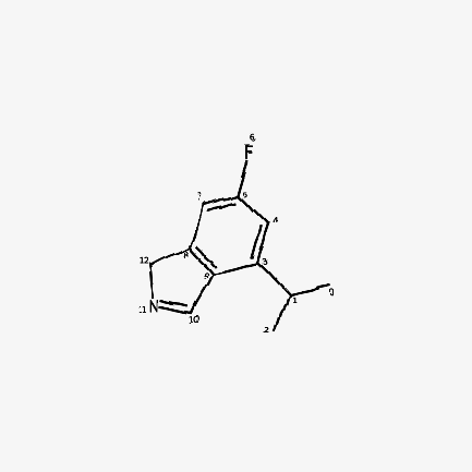 CC(C)c1cc(F)cc2c1C=NC2